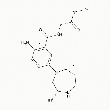 CC(C)NC(=O)CNC(=O)c1cc(N2CCCN[C@H](C(C)C)C2)ccc1N